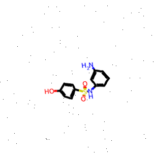 Nc1cccc(NS(=O)(=O)c2ccc(O)cc2)c1